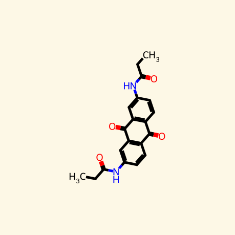 CCC(=O)Nc1ccc2c(c1)C(=O)c1cc(NC(=O)CC)ccc1C2=O